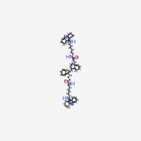 O=C(CCCc1c(/C=C2\C=CN(CCC(=O)NCCCCCCNc3c4c(nc5ccccc35)CCCC4)c3ccccc32)sc2ccccc12)NCCCCCCNc1c2c(nc3ccccc13)CCCC2